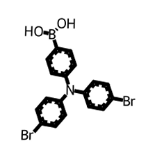 OB(O)c1ccc(N(c2ccc(Br)cc2)c2ccc(Br)cc2)cc1